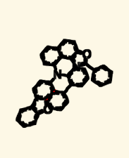 c1ccc(-c2nc3c(ccc4cccc(N(c5ccc6c(c5)oc5ccccc56)c5ccccc5-c5ccccc5)c43)o2)cc1